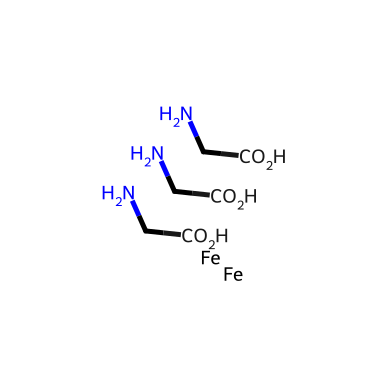 NCC(=O)O.NCC(=O)O.NCC(=O)O.[Fe].[Fe]